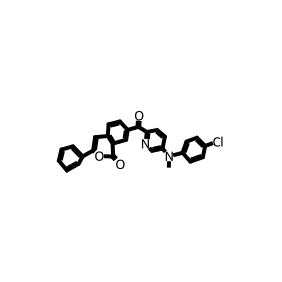 CN(c1ccc(Cl)cc1)c1ccc(C(=O)c2ccc3cc(-c4ccccc4)oc(=O)c3c2)nc1